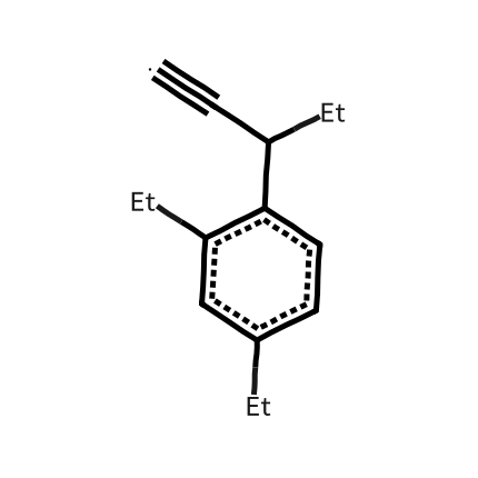 [C]#CC(CC)c1ccc(CC)cc1CC